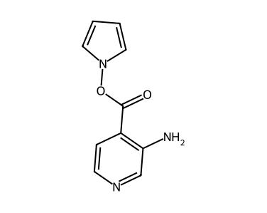 Nc1cnccc1C(=O)On1cccc1